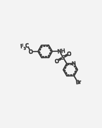 O=S(=O)(Nc1ccc(OC(F)(F)F)cc1)c1ccc(Br)cn1